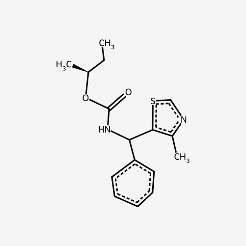 CC[C@H](C)OC(=O)NC(c1ccccc1)c1scnc1C